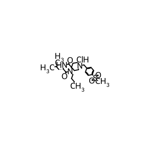 CCCCN1C(=O)[C@H](CC(C)C)NC(=O)C12CCN(Cc1ccc(S(C)(=O)=O)cc1)CC2.Cl